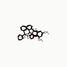 Cc1cc(C)c(C2=CC[C]([Zr]([CH3])([CH3])(=[C](c3ccccc3)c3ccccc3)[CH]3c4ccccc4-c4ccccc43)=C2)c(C)c1